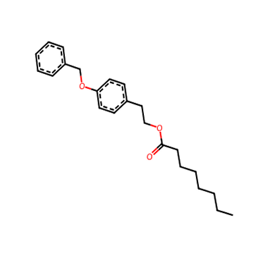 CCCCCCCC(=O)OCCc1ccc(OCc2ccccc2)cc1